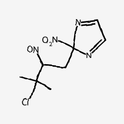 CC(C)(Cl)C(CC1([N+](=O)[O-])N=CC=N1)N=O